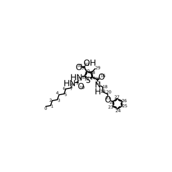 CCCCCCCCNC(=O)Nc1sc(C(=O)NCCCOc2ccccc2)c(C)c1C(=O)O